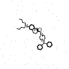 CCCCN(CCCC)c1ccc2c(c1)CCC(CN1CCN(C(c3ccccc3)c3ccccc3)CC1)=C2.Cl